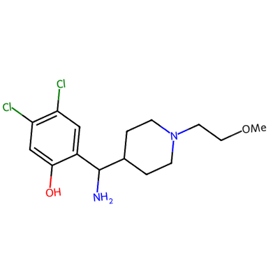 COCCN1CCC(C(N)c2cc(Cl)c(Cl)cc2O)CC1